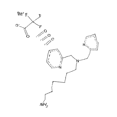 NCCCCCCN(Cc1ccccn1)Cc1ccccn1.O=C([O-])C(F)(F)F.[C]=O.[C]=O.[C]=O.[Re+]